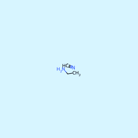 C#N.CCN